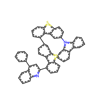 c1ccc(-c2cc(-c3cccc4sc5cc(-c6cccc7sc8ccc(-n9c%10ccccc%10c%10ccccc%109)cc8c67)ccc5c34)nc3ccccc23)cc1